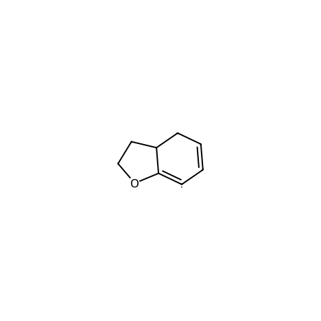 [C]1=C2OCCC2CC=C1